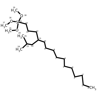 CCCCCCCCCCCC(CCC[Si](OC)(OC)OC)C[C](C)C